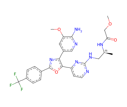 COCC(=O)N[C@@H](C)CNc1nccc(-c2oc(-c3ccc(C(F)(F)F)cc3)nc2-c2cnc(N)c(OC)c2)n1